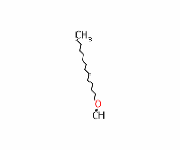 C#COCCCCCCCCCCCCCC